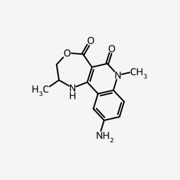 CC1COC(=O)c2c(c3cc(N)ccc3n(C)c2=O)N1